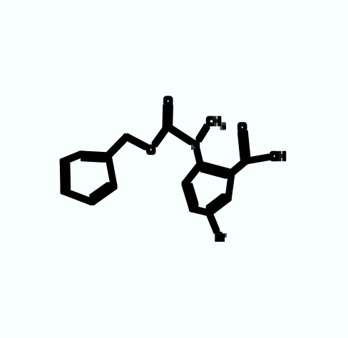 CN(C(=O)OCc1ccccc1)c1ccc(Br)cc1C(=O)O